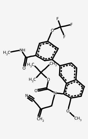 C=C(C#N)CN(C(=O)OC(C)(C)C)c1c(OC)ccc2ccc(-c3cc(OC(F)(F)F)cc(C(=O)NC)c3)cc12